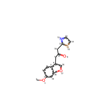 COc1ccc2c(CC(=O)Cc3nccs3)coc2c1